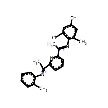 C/C(=N\c1ccccc1C)c1cccc(/C(C)=N/c2c(C)cc(C)cc2Cl)n1